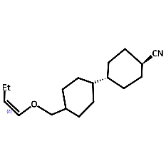 CC/C=C\OCC1CCC([C@H]2CC[C@H](C#N)CC2)CC1